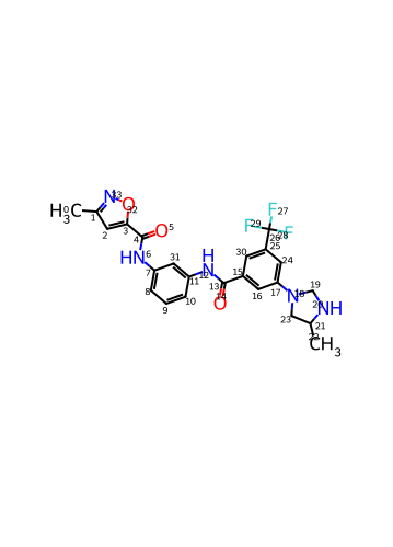 Cc1cc(C(=O)Nc2cccc(NC(=O)c3cc(N4CNC(C)C4)cc(C(F)(F)F)c3)c2)on1